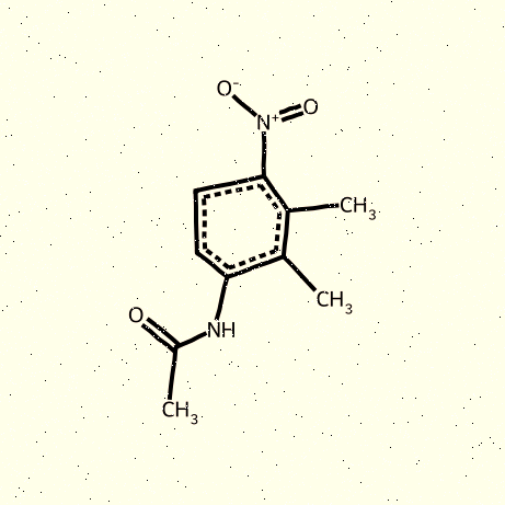 CC(=O)Nc1ccc([N+](=O)[O-])c(C)c1C